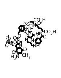 CO[C@@]12[C@H](COC(N)=O)C3=C(C(=O)C(C)=C(N)C3=O)N1CN2C(=O)OCc1ccc(SSC[C@H](NC(=O)CC[C@H](NC(=O)c2ccc(NCc3cnc4nc(N)[nH]c(=O)c4n3)cc2)C(=O)O)C(=O)O)cc1